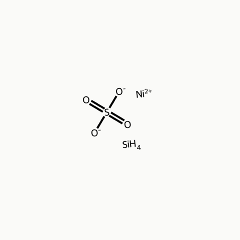 O=S(=O)([O-])[O-].[Ni+2].[SiH4]